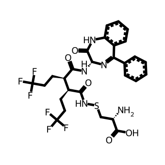 N[C@@H](CSNC(=O)[C@@H](CCC(F)(F)F)[C@@H](CCC(F)(F)F)C(=O)N[C@H]1N=C(c2ccccc2)c2ccccc2NC1=O)C(=O)O